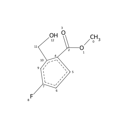 COC(=O)c1ccc(F)cc1CO